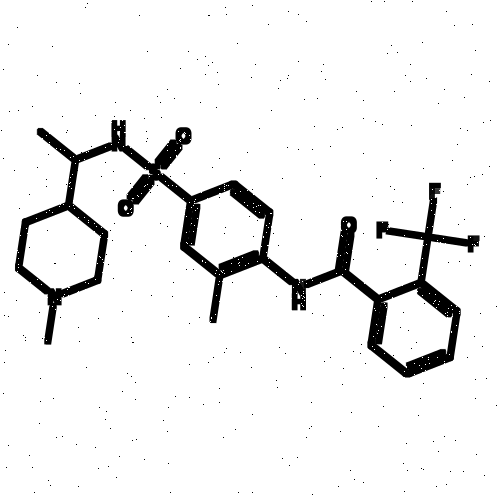 Cc1cc(S(=O)(=O)NC(C)C2CCN(C)CC2)ccc1NC(=O)c1ccccc1C(F)(F)F